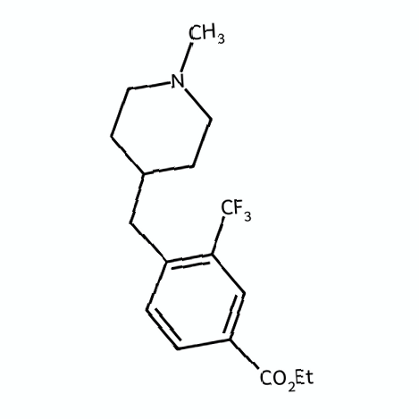 CCOC(=O)c1ccc(CC2CCN(C)CC2)c(C(F)(F)F)c1